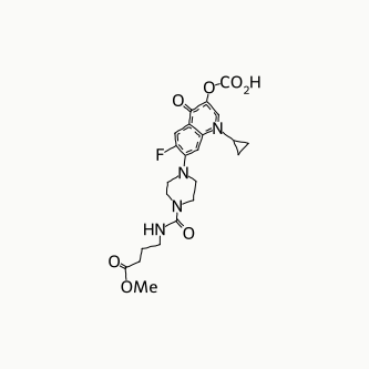 COC(=O)CCCNC(=O)N1CCN(c2cc3c(cc2F)c(=O)c(OC(=O)O)cn3C2CC2)CC1